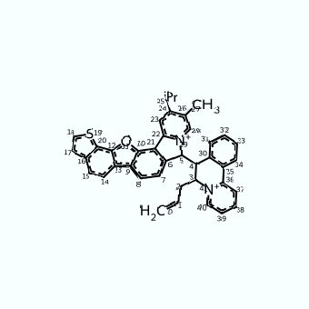 C=CCC1C(C2c3ccc4c(oc5c4ccc4ccsc45)c3-c3cc(C(C)C)c(C)c[n+]32)c2ccccc2-c2cccc[n+]21